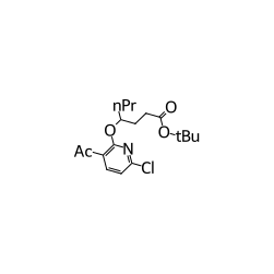 CCCC(CCC(=O)OC(C)(C)C)Oc1nc(Cl)ccc1C(C)=O